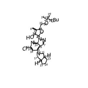 C=C1[C@@H](O)[C@H](n2ncc3c(N4C[C@H]5CCC[C@H]5C4)cc(Cl)nc32)O[C@@H]1CO[Si](C)(C)C(C)(C)C